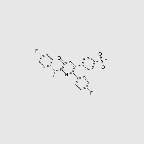 CC(c1ccc(F)cc1)n1nc(-c2ccc(F)cc2)c(-c2ccc(S(C)(=O)=O)cc2)cc1=O